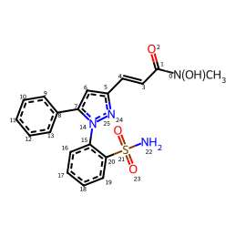 CN(O)C(=O)C=Cc1cc(-c2ccccc2)n(-c2ccccc2S(N)(=O)=O)n1